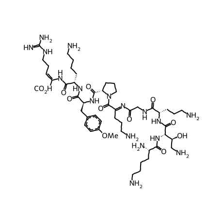 COc1ccc(C[C@H](NC(=O)[C@@H]2CCCN2C(=O)/C(CCCN)=N/C(=O)CNC(=O)[C@H](CCCN)NC(=O)[C@@H](NC(=O)[C@@H](N)CCCCN)[C@@H](O)CN)C(=O)N[C@@H](CCCCN)C(=O)N/C(=C\CCNC(=N)N)C(=O)O)cc1